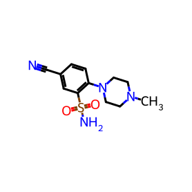 CN1CCN(c2ccc(C#N)cc2S(N)(=O)=O)CC1